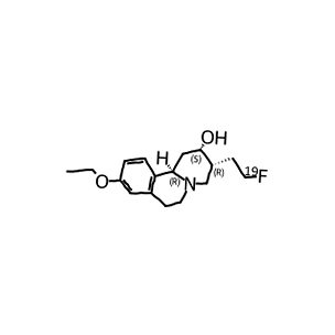 CCOc1ccc2c(c1)CCN1C[C@@H](CC[19F])[C@@H](O)C[C@H]21